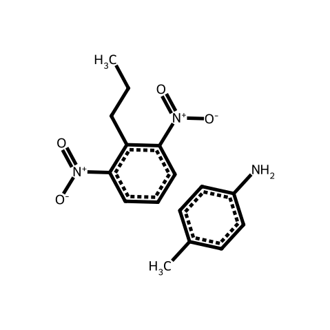 CCCc1c([N+](=O)[O-])cccc1[N+](=O)[O-].Cc1ccc(N)cc1